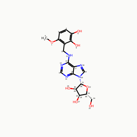 COc1ccc(O)c(O)c1CNc1ncnc2c1ncn2[C@@H]1O[C@H](CO)[C@@H](O)[C@H]1O